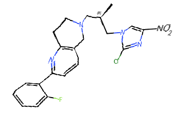 C[C@H](CN1CCc2nc(-c3ccccc3F)ccc2C1)Cn1cc([N+](=O)[O-])nc1Cl